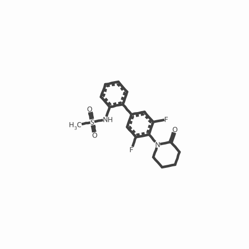 CS(=O)(=O)Nc1ccccc1-c1cc(F)c(N2CCCCC2=O)c(F)c1